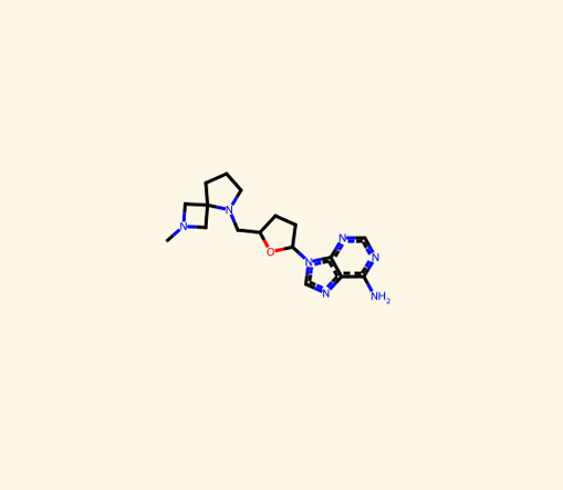 CN1CC2(CCCN2CC2CCC(n3cnc4c(N)ncnc43)O2)C1